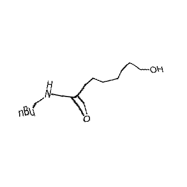 CCCCNC(=O)CCCO